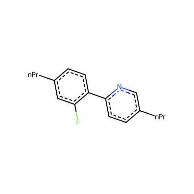 CCCc1ccc(-c2ccc(CCC)cc2F)nc1